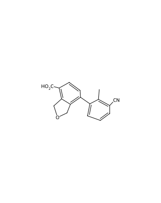 Cc1c(C#N)cccc1-c1ccc(C(=O)O)c2c1COC2